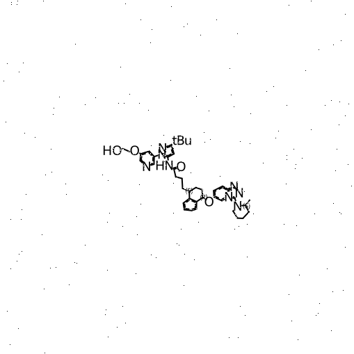 C[C@H]1CCCCN1c1nnc2ccc(O[C@@H]3CC[C@H](CCCC(=O)Nc4cc(C(C)(C)C)nn4-c4cncc(OCCO)c4)c4ccccc43)cn12